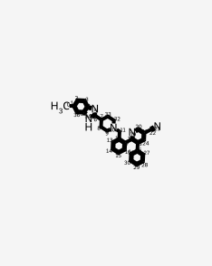 Cc1ccc2nc(C3CCN(Cc4ccccc4-c4ncc(C#N)cc4-c4ccccc4)CC3)[nH]c2c1